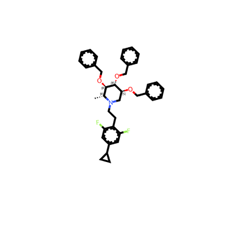 C[C@@H]1[C@@H](OCc2ccccc2)[C@H](OCc2ccccc2)[C@@H](OCc2ccccc2)CN1CCc1c(F)cc(C2CC2)cc1F